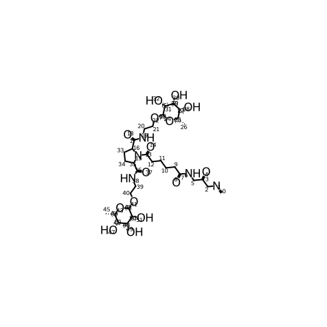 C=NCC(=O)CNC(=O)CCCCC(=O)N1C(C(=O)NCCO[C@@H]2O[C@@H](C)[C@@H](O)[C@@H](O)[C@@H]2O)CCC1C(=O)NCCO[C@@H]1O[C@@H](C)[C@@H](O)[C@@H](O)[C@@H]1O